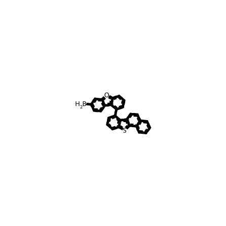 Bc1ccc2c(c1)oc1cccc(-c3cccc4sc5c6ccccc6ccc5c34)c12